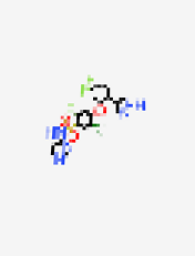 O=S(=O)(Nc1ccncn1)c1cc(Cl)c(OC2CC(F)(F)CCC2c2cn[nH]c2)cc1F